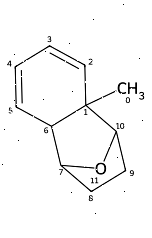 CC12C=CC=CC1C1CCC2O1